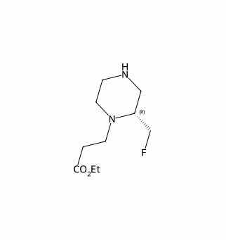 CCOC(=O)CCN1CCNC[C@@H]1CF